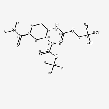 CN(C)C(=O)[C@H]1CC[C@H](NC(=O)OCC(Cl)(Cl)Cl)[C@H](NC(=O)OC(C)(C)C)C1